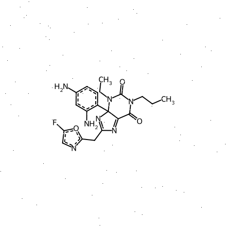 CCCN1C(=O)C2=NC(Cc3ncc(F)o3)=NC2(c2ccc(N)cc2N)N(CC)C1=O